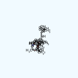 CC[C@H]1OC(=O)[C@H](C)[C@@H](O[C@H]2C[C@@](C)(OC)[C@@H](OC(=O)CCNCCSc3cnc4c(c3)c(=O)c(C(=O)O)cn4N(C)C)[C@H](C)O2)[C@H](C)[C@H]2O[C@@H]3O[C@H](CCN(CC)CCO/N=C(\[C@H](C)C[C@@]2(C)O)[C@@H](O)[C@]1(C)O)C[C@H](N(C)C)[C@H]3O